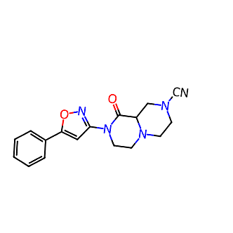 N#CN1CCN2CCN(c3cc(-c4ccccc4)on3)C(=O)C2C1